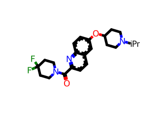 CC(C)N1CCC(Oc2ccc3nc(C(=O)N4CCC(F)(F)CC4)ccc3c2)CC1